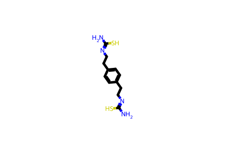 NC(S)=NCCc1ccc(CCN=C(N)S)cc1